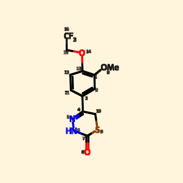 COc1cc(C2=NNC(=O)SC2)ccc1OCC(F)(F)F